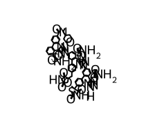 CN(C(=O)c1ccc(-c2cccc(S(N)(=O)=O)c2-c2nnn(-c3cc(-c4ccc(CC5OC(=O)NC5=O)cc4)c(-c4nnn(-c5cc(-c6ccc(C7(C)SC(=O)NC7=O)cc6)c(-c6nn[nH]n6)c(S(N)(=O)=O)c5)n4)c(S(N)(=O)=O)c3)n2)cc1)C1CCOCC1